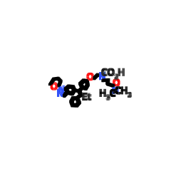 CCC(=C(c1ccc(OCCN(CC=CC(=O)N(C)C)C(=O)O)cc1)c1ccc2c(cnn2C2CCCCO2)c1)c1ccccc1